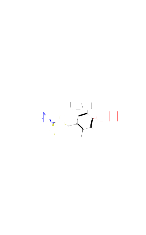 Cc1c(CSC(=S)N(C)C)cc(C(C)(C)C)c(O)c1C